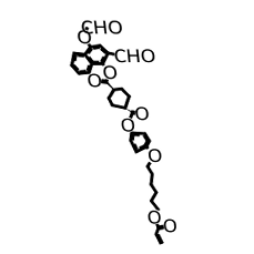 C=CC(=O)OCCCCCCOc1ccc(OC(=O)[C@H]2CC[C@H](C(=O)Oc3c(C=O)cc(OC=O)c4ccccc34)CC2)cc1